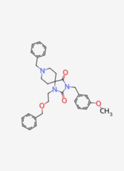 COc1cccc(CN2C(=O)N(CCOCc3ccccc3)C3(CCN(Cc4ccccc4)CC3)C2=O)c1